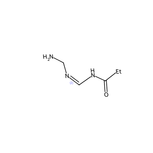 CCC(=O)N/C=N\CN